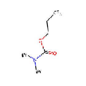 CC(C)N(C(=O)OCCC(F)(F)F)C(C)C